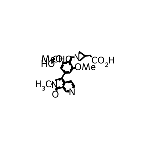 COc1cc(-c2cn(C)c(=O)c3cnccc23)cc(OC)c1CN1CC(CC(=O)O)C1.O=CO